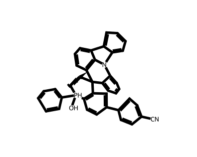 N#Cc1ccc(-c2ccc3c(c2)C2(c4ccccc4-n4c5ccccc5c5cccc2c54)c2ccccc2[PH]3(O)c2ccccc2)cc1